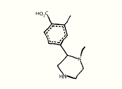 Cc1cc(C2CNCCN2C)ccc1C(=O)O